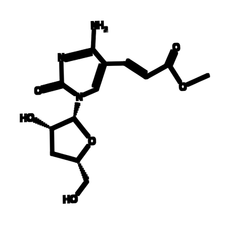 COC(=O)/C=C/c1cn([C@@H]2O[C@H](CO)C[C@@H]2O)c(=O)nc1N